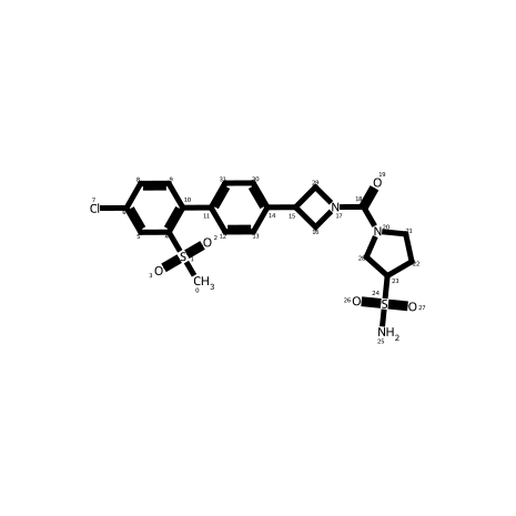 CS(=O)(=O)c1cc(Cl)ccc1-c1ccc(C2CN(C(=O)N3CCC(S(N)(=O)=O)C3)C2)cc1